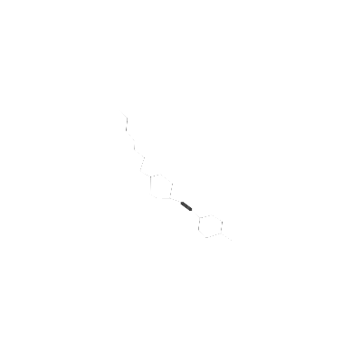 CCCCCCCC1CCC(C#CC2CCC(C)CC2)CC1